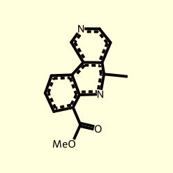 COC(=O)c1cccc2c1nc(C)c1ccncc12